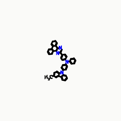 Cc1ccc2c(c1)c1ccccc1n2-c1ccc(N(c2ccccc2)c2ccc(-c3cnc4c5ccccc5c5ccccc5c4n3)cc2)cc1